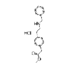 COC(=O)Cc1ccc(CCNCc2ccccc2)cc1.Cl